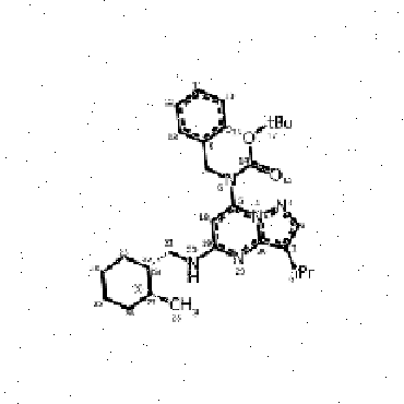 CC(C)c1cnn2c(N(Cc3ccccc3)C(=O)OC(C)(C)C)cc(NC[C@H]3CCCC[C@@H]3C)nc12